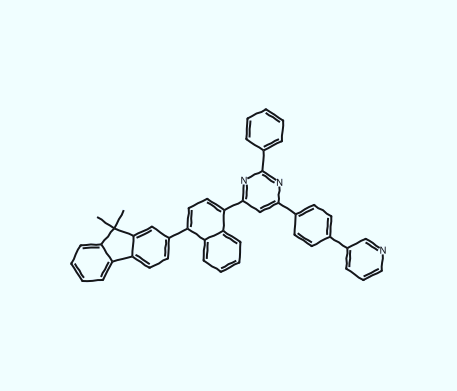 CC1(C)c2ccccc2-c2ccc(-c3ccc(-c4cc(-c5ccc(-c6cccnc6)cc5)nc(-c5ccccc5)n4)c4ccccc34)cc21